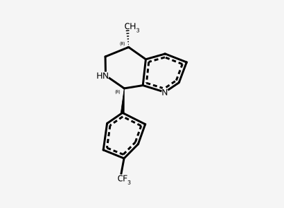 C[C@H]1CN[C@H](c2ccc(C(F)(F)F)cc2)c2ncccc21